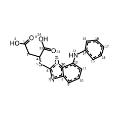 O=C(O)CC(Sc1nc2cccc(Nc3ccccc3)c2o1)C(=O)O